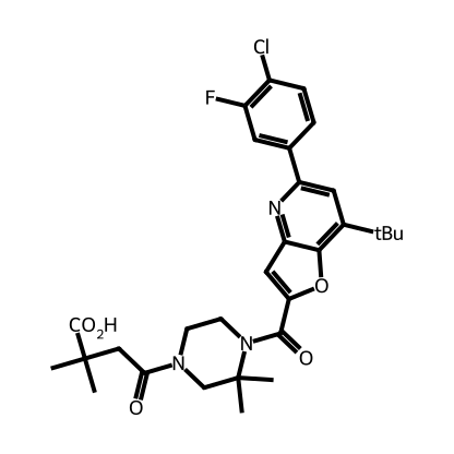 CC(C)(CC(=O)N1CCN(C(=O)c2cc3nc(-c4ccc(Cl)c(F)c4)cc(C(C)(C)C)c3o2)C(C)(C)C1)C(=O)O